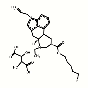 C=CCn1cc2c3c(cccc31)C1C[C@@H](C(=O)OCCCCCF)CN(CC)[C@@H]1C2.O=C(O)C(O)C(O)C(=O)O